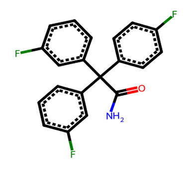 NC(=O)C(c1ccc(F)cc1)(c1cccc(F)c1)c1cccc(F)c1